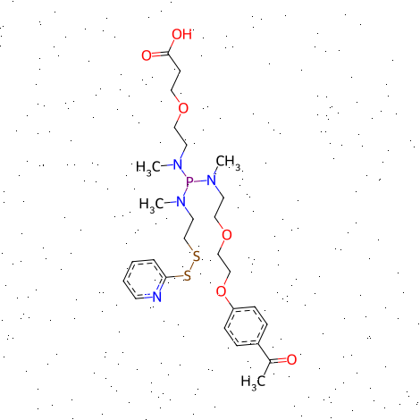 CC(=O)c1ccc(OCCOCCN(C)P(N(C)CCOCCC(=O)O)N(C)CCSSc2ccccn2)cc1